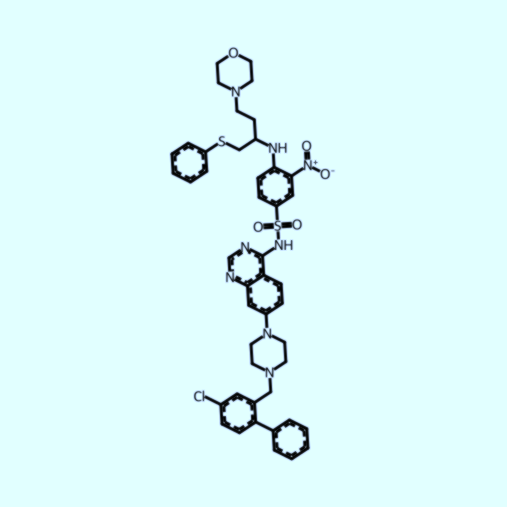 O=[N+]([O-])c1cc(S(=O)(=O)Nc2ncnc3cc(N4CCN(Cc5cc(Cl)ccc5-c5ccccc5)CC4)ccc23)ccc1NC(CCN1CCOCC1)CSc1ccccc1